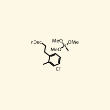 CCCCCCCCCCCCc1ccccc1C.CO[N+](C)(OC)OC.[Cl-]